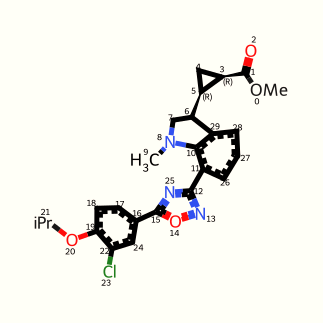 COC(=O)[C@@H]1C[C@@H]1C1CN(C)c2c(-c3noc(-c4ccc(OC(C)C)c(Cl)c4)n3)cccc21